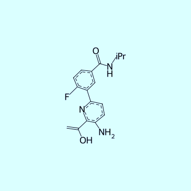 C=C(O)c1nc(-c2cc(C(=O)NC(C)C)ccc2F)ccc1N